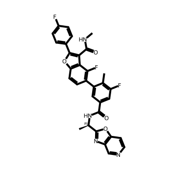 CNC(=O)c1c(-c2ccc(F)cc2)oc2ccc(-c3cc(C(=O)N[C@H](C)c4nc5cnccc5o4)cc(F)c3C)c(F)c12